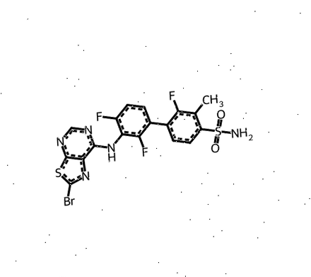 Cc1c(S(N)(=O)=O)ccc(-c2ccc(F)c(Nc3ncnc4sc(Br)nc34)c2F)c1F